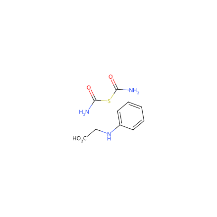 NC(=O)SC(N)=O.O=C(O)CNc1ccccc1